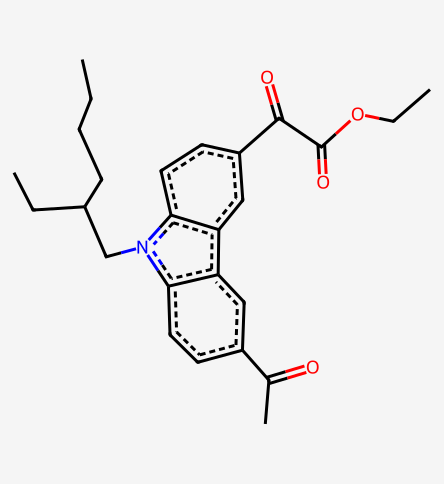 CCCCC(CC)Cn1c2ccc(C(C)=O)cc2c2cc(C(=O)C(=O)OCC)ccc21